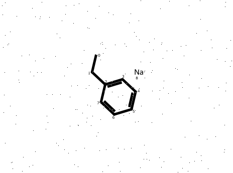 CCc1ccccc1.[Na]